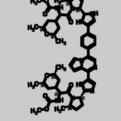 COC(=O)NC(C(=O)N1[C@@H](C)CC[C@H]1C1NC=C(c2ccc(-c3cnc(-c4cnc([C@@H]5CC[C@H](C)N5C(=O)[C@@H](NC(=O)OC)C5C[C@@H](C)O[C@@H](C)C5)[nH]4)c4cccn34)cc2)N1)C1C[C@@H](C)O[C@@H](C)C1